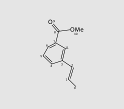 CC=Cc1cccc(C(=O)OC)c1